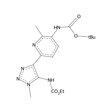 CCOC(=O)Nc1c(-c2ccc(NC(=O)OC(C)(C)C)c(C)n2)nnn1C